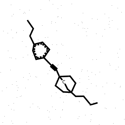 CCCCC12CCC(C#Cc3ccc(CCC)cc3)(CC1)CC2